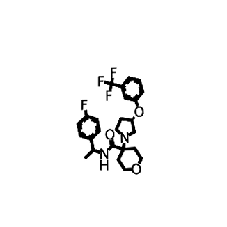 CC(NC(=O)C1(N2CC[C@@H](Oc3cccc(C(F)(F)F)c3)C2)CCOCC1)c1ccc(F)cc1